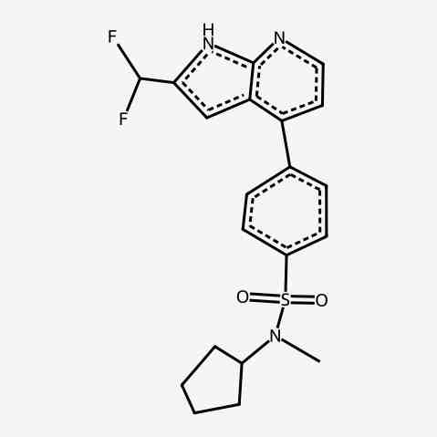 CN(C1CCCC1)S(=O)(=O)c1ccc(-c2ccnc3[nH]c(C(F)F)cc23)cc1